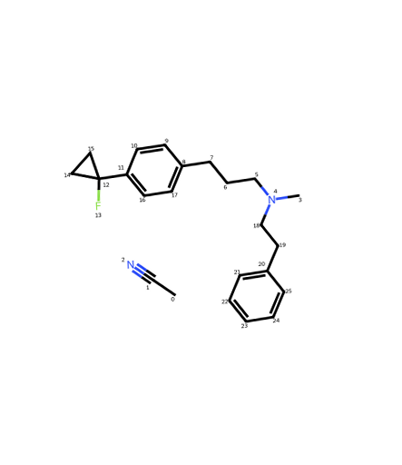 CC#N.CN(CCCc1ccc(C2(F)CC2)cc1)CCc1ccccc1